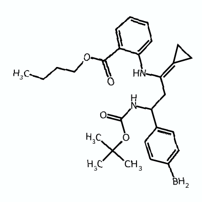 Bc1ccc(C(CC(Nc2ccccc2C(=O)OCCCC)=C2CC2)NC(=O)OC(C)(C)C)cc1